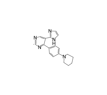 [c]1ncc(-c2ncc[nH]2)c(-c2ccc(N3CCCCC3)cc2)n1